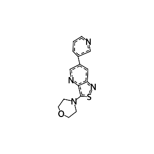 c1cncc(-c2cnc3c(N4CCOCC4)snc3c2)c1